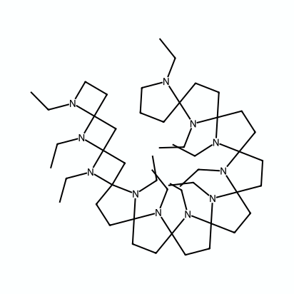 CCN1CCCC12CCC1(CCC3(CCC4(CCC5(CCC6(CCC7(CCC8(CC9(CC%10(CCN%10CC)N9CC)N8CC)N7CC)N6CC)N5CC)N4CC)N3CC)N1CC)N2CC